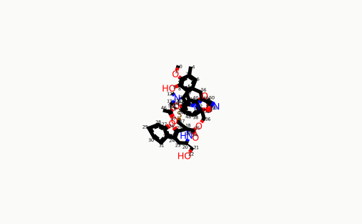 COc1c(C)cc2c(c1O)[C@H](N(C)C)[C@@H]1[C@@H]3SC[C@]4(N[C@@H](CO)Cc5c4oc4ccccc54)C(=O)OC[C@@H](c4c5c(c(C)c(OC(C)=O)c43)OCO5)N1C(C#N)C2